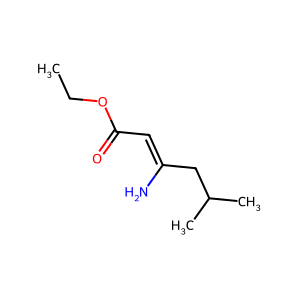 CCOC(=O)/C=C(\N)CC(C)C